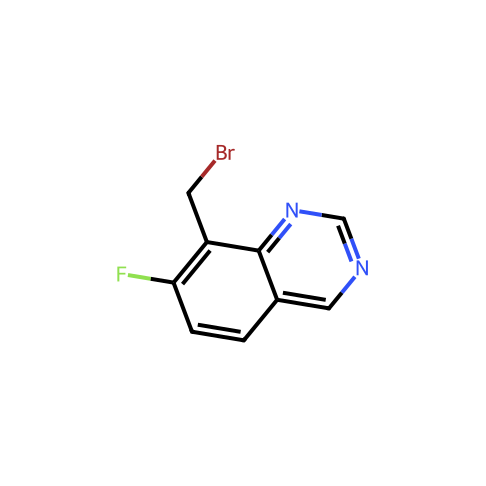 Fc1ccc2cncnc2c1CBr